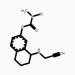 C#CCNC1CCCc2ccc(OC(=O)N(C)CC)cc21